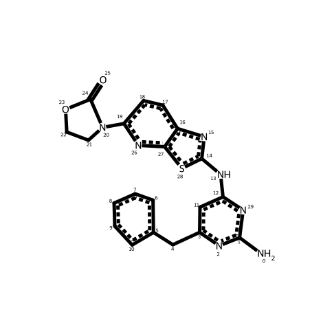 Nc1nc(Cc2ccccc2)cc(Nc2nc3ccc(N4CCOC4=O)nc3s2)n1